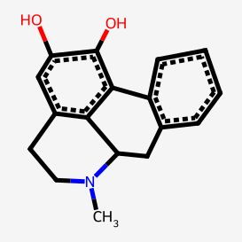 CN1CCc2cc(O)c(O)c3c2C1Cc1ccccc1-3